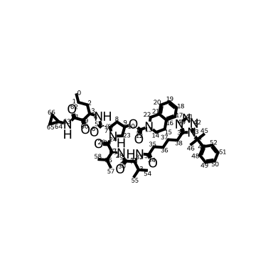 CCCC(NC(=O)[C@@H]1CC(OC(=O)N2CCc3ccccc3C2)CN1C(=O)[C@@H](NC(=O)[C@@H](NC(=O)CCCCc1nnnn1C(C)(C)c1ccccc1)C(C)C)C(C)C)C(=O)C(=O)NC1CC1